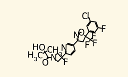 CC(C)(O)C(=O)N1CC(F)(c2ccc(C3=NOC(c4cc(F)cc(Cl)c4)(C(F)(F)F)C3)cn2)C1